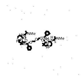 CN[C@@H](C)C(=S)N[C@H]1CCS[C@H]2CC(C)(C)C(C(=O)N[C@H](COCCOCCOC[C@@H](NC(=O)[C@H]3N4C(=O)[C@@H](NC(=S)[C@H](C)NC)CCS[C@H]4CC3(C)C)c3ccccc3)c3ccccc3)N2C1=O